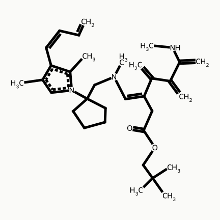 C=C/C=C\c1c(C)cn(C2(CN(C)/C=C(/CC(=O)OCC(C)(C)C)C(=C)C(=C)C(=C)NC)CCCC2)c1C